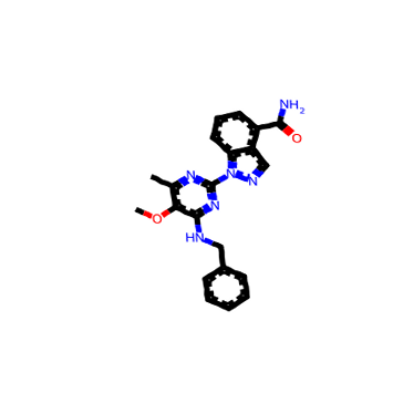 COc1c(C)nc(-n2ncc3c(C(N)=O)cccc32)nc1NCc1ccccc1